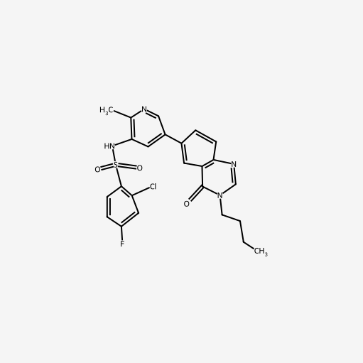 CCCCn1cnc2ccc(-c3cnc(C)c(NS(=O)(=O)c4ccc(F)cc4Cl)c3)cc2c1=O